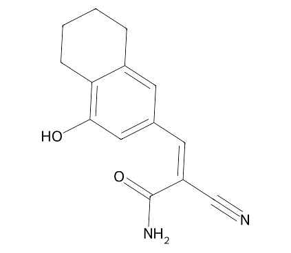 N#CC(=Cc1cc(O)c2c(c1)CCCC2)C(N)=O